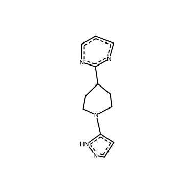 c1cnc(C2CCN(c3ccn[nH]3)CC2)nc1